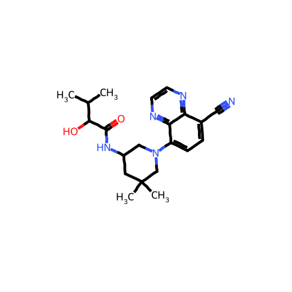 CC(C)C(O)C(=O)NC1CN(c2ccc(C#N)c3nccnc23)CC(C)(C)C1